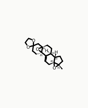 C[C@]12CC[C@H]3[C@@H]4CC[C@@]56CC7(CC[C@@]5(O6)C4=CC[C@@]31O2)OCCO7